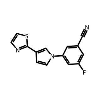 N#Cc1cc(F)cc(-n2ccc(-c3nccs3)c2)c1